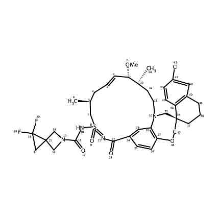 CO[C@H]1/C=C/C[C@H](C)CS(=O)(NC(=O)N2CC3(C2)CC3(F)F)=NC(=O)c2ccc3c(c2)N(CC[C@H]1C)C[C@@]1(CCCc2cc(Cl)ccc21)CO3